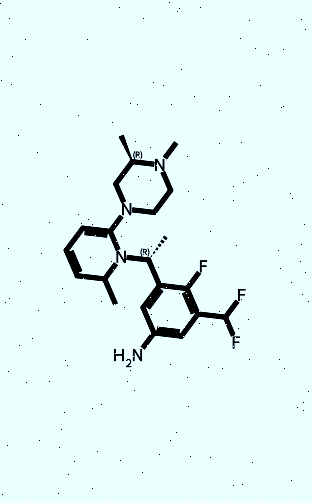 CC1C=CC=C(N2CCN(C)[C@H](C)C2)N1[C@H](C)c1cc(N)cc(C(F)F)c1F